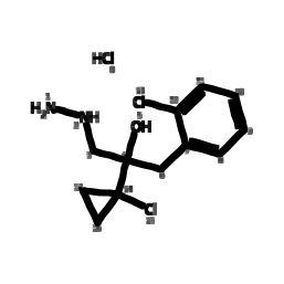 Cl.NNCC(O)(Cc1ccccc1Cl)C1(Cl)CC1